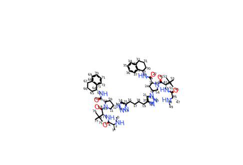 CN[C@@H](C)C(=O)N[C@H](C(=O)N1C[C@@H](n2cc(CCCCc3cn([C@H]4C[C@@H](C(=O)N[C@@H]5CCCc6ccccc65)N(C(=O)[C@@H](NC(=O)[C@H](C)NC)C(C)(C)C)C4)nn3)nn2)C[C@H]1C(=O)N[C@@H]1CCCc2ccccc21)C(C)(C)C